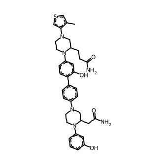 Cc1cscc1N1CCN(c2ccc(-c3ccc(N4CCN(c5cccc(O)c5)C(CC(N)=O)C4)cc3)c(O)c2)C(CCC(N)=O)C1